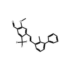 COc1cc(/C=C/c2cccc(-c3ccccc3)c2C)c(C(F)(F)F)cc1C=O